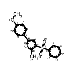 COc1ccc(-c2cc(S(=O)(=O)c3ccccc3)c(C)o2)cc1